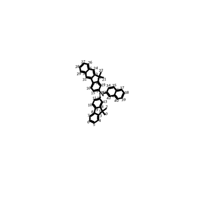 CC1(C)c2ccccc2-c2ccc(N(c3ccc4c(c3)C(C)(C)c3cc5ccccc5cc3-4)c3ccc4ccccc4c3)cc21